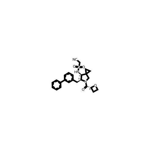 N#CCS(=O)(=O)N[C@@H]1[C@H](Cc2cccc(-c3ccccc3)c2)N(C(=O)[C@H]2CCO2)CC12CC2